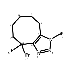 CC(C)n1nnc2c1CCCCCC2(F)C(C)C